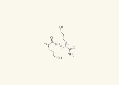 C/C(=C\CCCO)C(N)=O.C=C(CCCO)C(N)=O